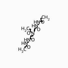 C=CC(=O)NCNC(=O)C=CN(C=CC(=O)NCNC(=O)C=C)C(=O)C=C